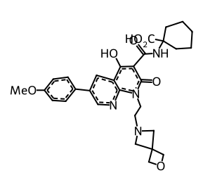 COc1ccc(-c2cnc3c(c2)c(O)c(C(=O)NC2(C(=O)O)CCCCC2)c(=O)n3CCN2CC3(COC3)C2)cc1